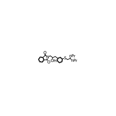 CCCC(CCC)CSc1cccc(CC(O)CN2C(=O)c3ccccc3C2=O)c1